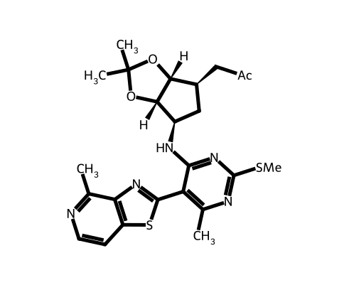 CSc1nc(C)c(-c2nc3c(C)nccc3s2)c(N[C@@H]2C[C@H](CC(C)=O)[C@H]3OC(C)(C)O[C@H]32)n1